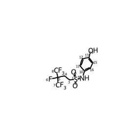 O=S(=O)(CCC(F)(C(F)(F)F)C(F)(F)F)Nc1ccc(O)cc1